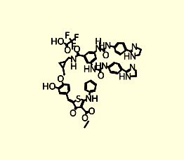 CCOC(=O)C1=C(Nc2ccccc2)S/C(=C\c2ccc(OCC3CC3CNC(=O)c3cc(NC(=O)Nc4ccc(C5=NCCN5)cc4)cc(NC(=O)Nc4ccc(C5=NCCN5)cc4)c3)c(O)c2)C1=O.O=C(O)C(F)(F)F